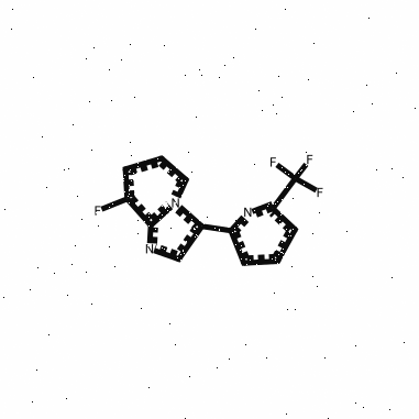 Fc1cccn2c(-c3cccc(C(F)(F)F)n3)cnc12